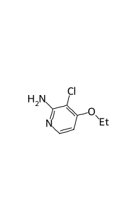 CCOc1ccnc(N)c1Cl